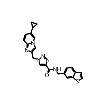 O=C(NCc1ccc2ccsc2c1)c1cn(Cc2cn3cc(C4CC4)ccc3n2)nn1